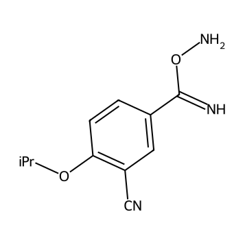 CC(C)Oc1ccc(C(=N)ON)cc1C#N